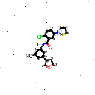 N#Cc1cc(NC(=O)c2cc(N3CCCS3)ccc2Cl)cc(C2CCOC2)c1